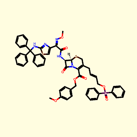 CO/N=C(\C(=O)N[C@@H]1C(=O)N2C(C(=O)OCc3ccc(OC)cc3)=C(C/C=C/COP(=O)(c3ccccc3)c3ccccc3)CS[C@H]12)c1csc(NC(c2ccccc2)(c2ccccc2)c2ccccc2)n1